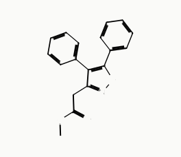 COC(=O)Cc1noc(-c2ccccc2)c1-c1ccccc1